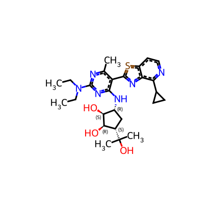 CCN(CC)c1nc(C)c(-c2nc3c(C4CC4)nccc3s2)c(N[C@@H]2C[C@H](C(C)(C)O)[C@@H](O)[C@H]2O)n1